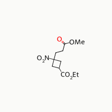 CCOC(=O)C1CC(CCC(=O)OC)([N+](=O)[O-])C1